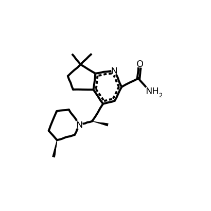 C[C@H]1CCCN([C@H](C)c2cc(C(N)=O)nc3c2CCC3(C)C)C1